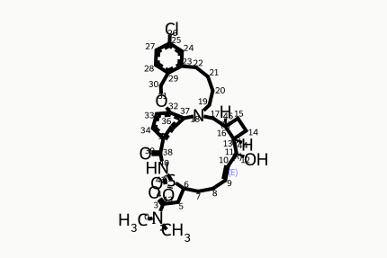 CN(C)C(=O)CC1CC/C=C/[C@H](O)[C@H]2CC[C@H]2CN2CCCCc3cc(Cl)ccc3COc3ccc(cc32)C(=O)NS1(=O)=O